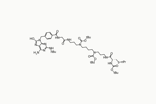 [CH2][CH]CSC[C@H](NC(=O)OC(C)(C)C)C(=O)NCCCN(CCCCN(CCCNC(=O)CNC(=O)c1ccc(Cn2c(O)nc3c(N)nc(NCCCC)nc32)cc1)C(=O)OC(C)(C)C)C(=O)OC(C)(C)C